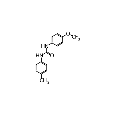 Cc1ccc(NC(=O)Nc2ccc(OC(F)(F)F)cc2)cc1